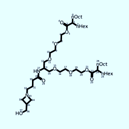 CCCCCCCCC(CCCCCC)C(=O)OCCOCCOCC(COCCOCCOC(=O)C(CCCCCC)CCCCCCCC)NC(=O)CCCN1CC(CO)C1